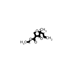 C=CCC1(C)OCC(C(=O)OCC)C1=O